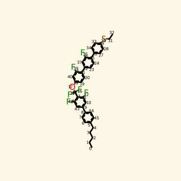 CCCCCc1ccc(-c2cc(F)c(C(F)(F)Oc3ccc(-c4ccc(-c5ccc(SCC)cc5)c(F)c4)c(F)c3)c(F)c2)cc1